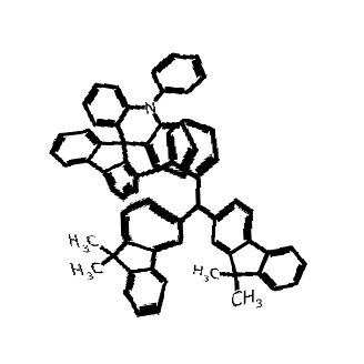 CC1(C)c2ccccc2-c2cc(C(c3ccc4c(c3)C(C)(C)c3ccccc3-4)c3ccccc3-c3cccc4c3C3(c5ccccc5-4)c4ccccc4N(c4ccccc4)c4ccccc43)ccc21